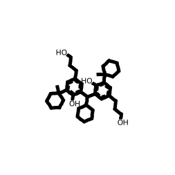 CC1(c2cc(CCCO)cc(C(c3cc(CCCO)cc(C4(C)CCCCC4)c3O)C3CCCCC3)c2O)CCCCC1